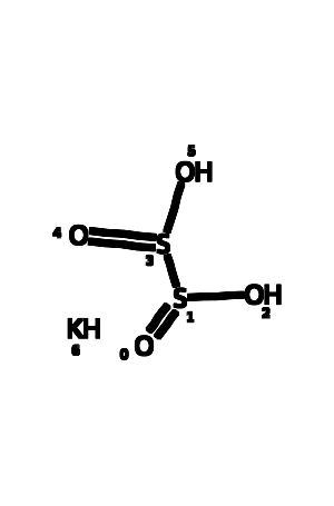 O=S(O)S(=O)O.[KH]